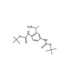 CC(N)c1cc(NC(=O)OC(C)(C)C)ccc1NC(=O)OC(C)(C)C